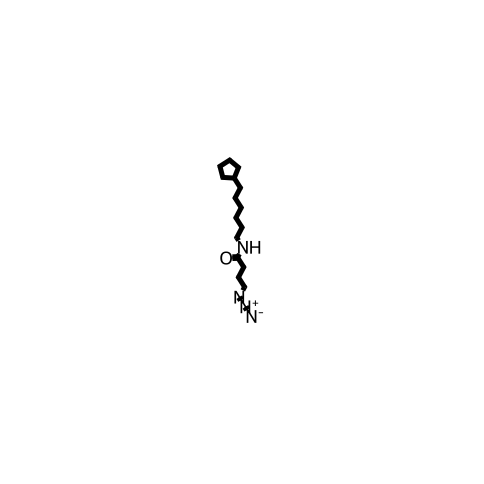 [N-]=[N+]=NCCCC(=O)NCCCCCCC1CCCC1